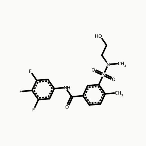 Cc1ccc(C(=O)Nc2cc(F)c(F)c(F)c2)cc1S(=O)(=O)N(C)CCO